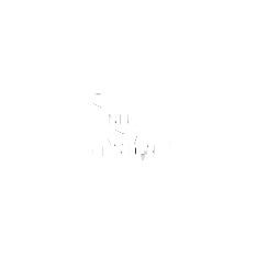 N[C@@H](CF)Cc1oc2c(NCc3ccco3)cc(Cl)nc2c1Br